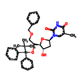 Cc1cn([C@H]2C[C@H](O)[C@@H](C(COCc3ccccc3)O[Si](c3ccccc3)(c3ccccc3)C(C)(C)C)O2)c(=O)[nH]c1=O